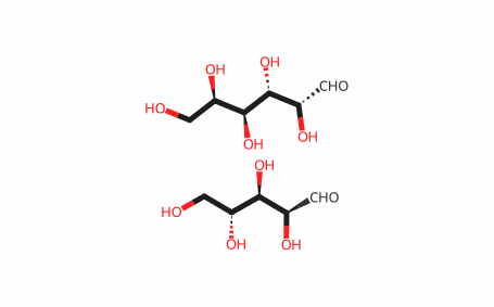 O=C[C@@H](O)[C@H](O)[C@H](O)CO.O=C[C@H](O)[C@@H](O)[C@@H](O)[C@H](O)CO